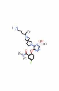 CCN(C(=O)c1cc(F)ccc1Oc1nncnc1N1CCC2(C1)CN(C(CCCN)C(C)C)C2)C(C)C.O=CO